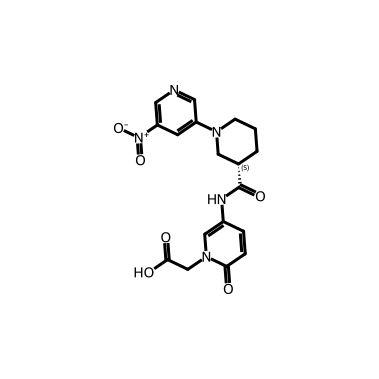 O=C(O)Cn1cc(NC(=O)[C@H]2CCCN(c3cncc([N+](=O)[O-])c3)C2)ccc1=O